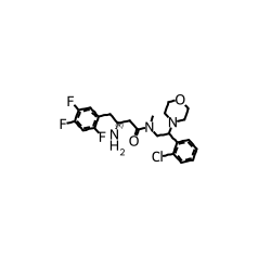 CN(CC(c1ccccc1Cl)N1CCOCC1)C(=O)C[C@H](N)Cc1cc(F)c(F)cc1F